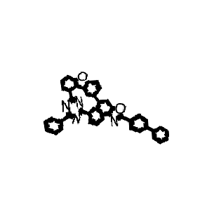 c1ccc(-c2ccc(-c3nc4ccc(-c5ccc6oc7cccc(-c8nc(-c9ccccc9)nc(-c9ccccc9)n8)c7c6c5)cc4o3)cc2)cc1